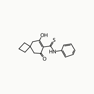 O=C1CC2(CCC2)CC(O)=C1C(=S)Nc1ccccc1